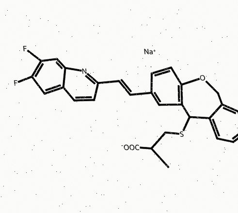 CC(CSC1c2ccccc2COc2ccc(/C=C/c3ccc4cc(F)c(F)cc4n3)cc21)C(=O)[O-].[Na+]